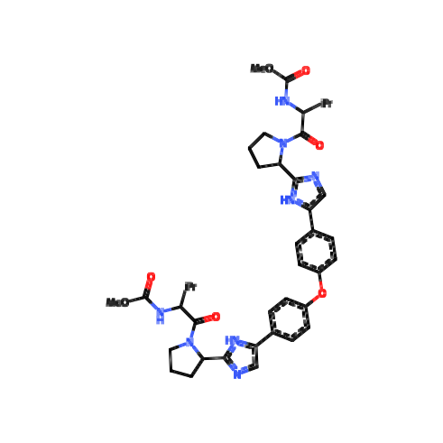 COC(=O)NC(C(=O)N1CCCC1c1ncc(-c2ccc(Oc3ccc(-c4cnc(C5CCCN5C(=O)C(NC(=O)OC)C(C)C)[nH]4)cc3)cc2)[nH]1)C(C)C